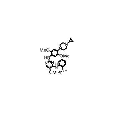 COc1cc(N2CCN(C3CC3)CC2)c(OC)cc1Nc1ncc(Cl)c(Nc2ccccc2NSC)n1